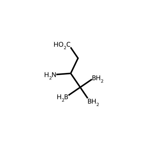 BC(B)(B)C(N)CC(=O)O